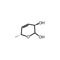 C[C@@H]1C=C[C@@H](O)C(O)O1